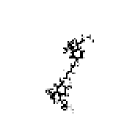 COC(=O)c1ccc(OCCCCOc2cc([N+](=O)[O-])c(C(=O)OC)cc2F)cc1[N+](=O)[O-]